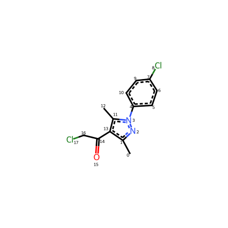 Cc1nn(-c2ccc(Cl)cc2)c(C)c1C(=O)CCl